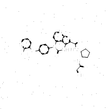 C=CC(=O)N[C@H]1CCC[C@H]1NC(=O)c1sc2nccc3c2c1NC(=O)N3c1ccc(Oc2cccnc2C)cc1